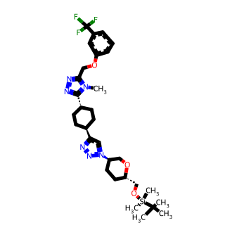 Cn1c(COc2cccc(C(F)(F)F)c2)nnc1[C@H]1CC[C@H](c2cn([C@@H]3CC[C@@H](CO[Si](C)(C)C(C)(C)C)OC3)nn2)CC1